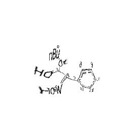 CCCCOC(O)C(=NO)c1ccccc1